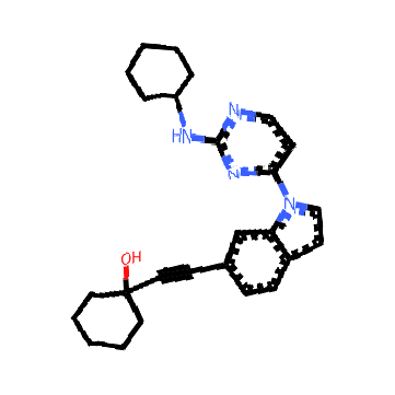 OC1(C#Cc2ccc3ccn(-c4ccnc(NC5CCCCC5)n4)c3c2)CCCCC1